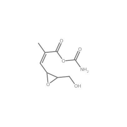 CC(=CC1OC1CO)C(=O)OC(N)=O